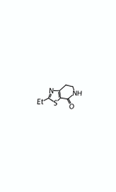 CCc1nc2c(s1)C(=O)NCC2